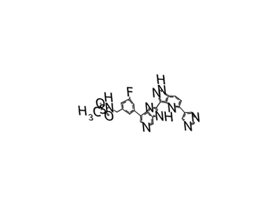 CS(=O)(=O)NCc1cc(F)cc(-c2cncc3[nH]c(-c4n[nH]c5ccc(-c6cncnc6)nc45)nc23)c1